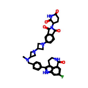 CN(Cc1ccc(-c2[nH]c3cc(F)cc4c3c2CCNC4=O)cc1)C1CN(C2CN(c3ccc4c(c3)C(=O)N(C3CCC(=O)NC3=O)C4=O)C2)C1